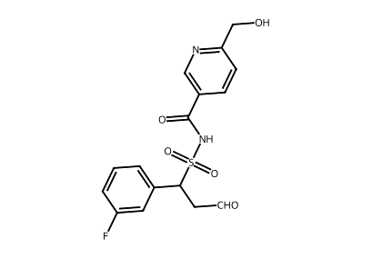 O=CCC(c1cccc(F)c1)S(=O)(=O)NC(=O)c1ccc(CO)nc1